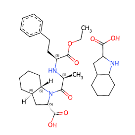 CCOC(=O)[C@H](CCc1ccccc1)N[C@@H](C)C(=O)N1[C@H](C(=O)O)C[C@H]2CCCC[C@@H]21.O=C(O)C1CC2CCCCC2N1